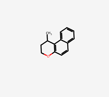 CC1CCOc2ccc3ccccc3c21